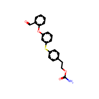 NC(=O)OCCc1ccc(Sc2cccc(Oc3ccccc3C=O)c2)cc1